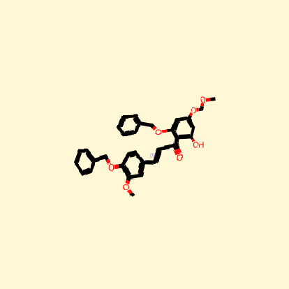 COCOc1cc(O)c(C(=O)/C=C/c2ccc(OCc3ccccc3)c(OC)c2)c(OCc2ccccc2)c1